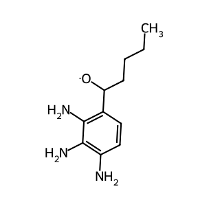 CCCCC([O])c1ccc(N)c(N)c1N